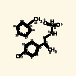 C=C(CN[SH](=O)=O)c1ccc(Cl)cc1.Cc1ccccc1